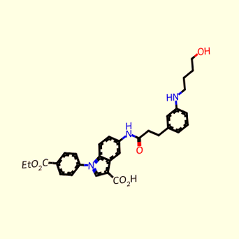 CCOC(=O)c1ccc(-n2cc(C(=O)O)c3cc(NC(=O)CCc4cccc(NCCCCO)c4)ccc32)cc1